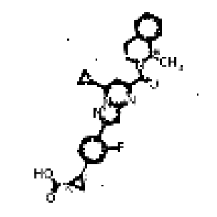 C[C@@H]1c2ccccc2CCN1C(=O)c1cc(C2CC2)n2nc(-c3ccc([C@H]4C[C@@H]4C(=O)O)cc3F)cc2n1